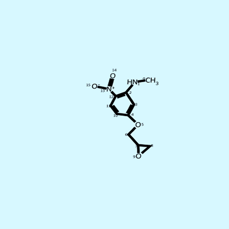 CNc1cc(OCC2CO2)ccc1[N+](=O)[O-]